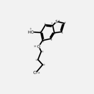 Oc1cc2sccc2cc1OCCCCl